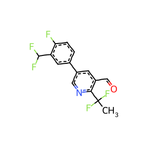 CC(F)(F)c1ncc(-c2ccc(F)c(C(F)F)c2)cc1C=O